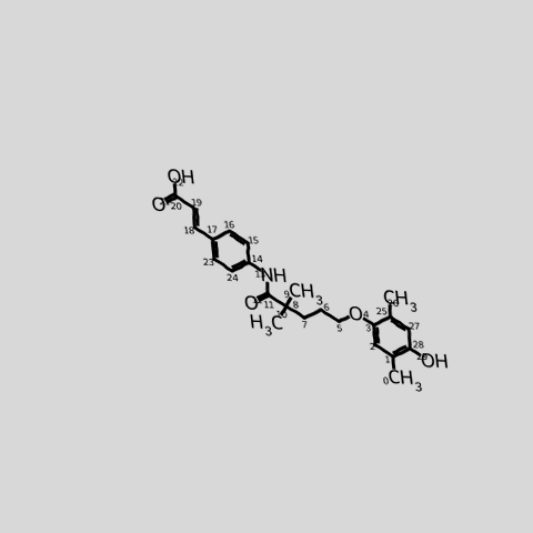 Cc1cc(OCCCC(C)(C)C(=O)Nc2ccc(/C=C/C(=O)O)cc2)c(C)cc1O